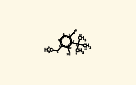 CCc1ccc(I)c(C(C)(C)C)c1I